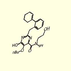 CCCCOc1c(O)nc(Cc2ccccc2C2=CCCCC2)nc1C(=O)N(CCO)C(C)C